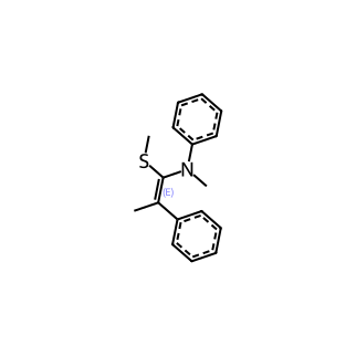 CS/C(=C(\C)c1ccccc1)N(C)c1ccccc1